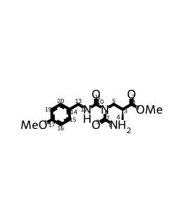 COC(=O)[C@@H](C)CN(C(N)=O)C(=O)NCc1ccc(OC)cc1